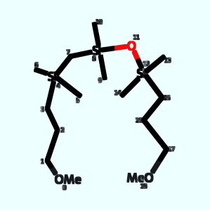 COCCC[Si](C)(C)C[Si](C)(C)O[Si](C)(C)CCCOC